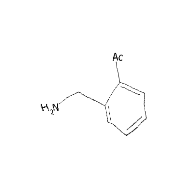 [CH2]C(=O)c1ccccc1CN